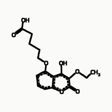 CCOc1c(O)c2c(OCCCCC(=O)O)cccc2oc1=O